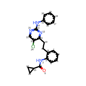 O=C(Nc1ccccc1CCc1nc(Nc2ccccc2)ncc1Cl)C1CC1